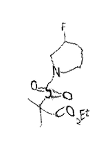 CCOC(=O)C(C)(C)S(=O)(=O)N1CCC(F)C1